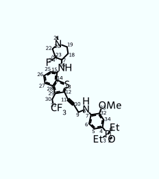 CCP(=O)(CC)c1ccc(NCC#Cc2sc3c(NC4CCN(C)C[C@@H]4F)cccc3c2CC(F)(F)F)c(OC)c1